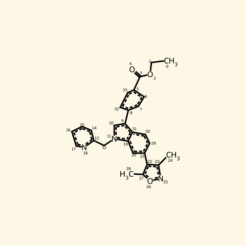 CCOC(=O)c1ccc(-c2cn(Cc3ccccn3)c3cc(-c4c(C)noc4C)ccc23)cc1